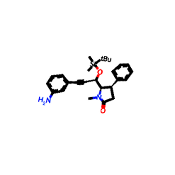 CN1C(=O)C[C@H](c2ccccc2)[C@@H]1[C@@H](C#Cc1cccc(N)c1)O[Si](C)(C)C(C)(C)C